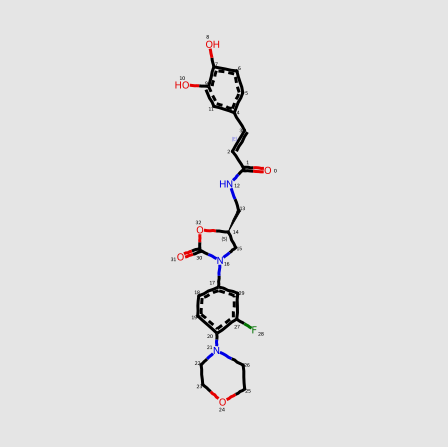 O=C(/C=C/c1ccc(O)c(O)c1)NC[C@H]1CN(c2ccc(N3CCOCC3)c(F)c2)C(=O)O1